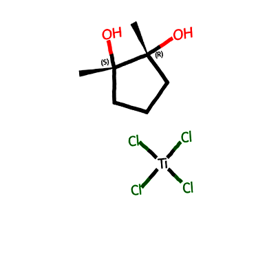 C[C@]1(O)CCC[C@@]1(C)O.[Cl][Ti]([Cl])([Cl])[Cl]